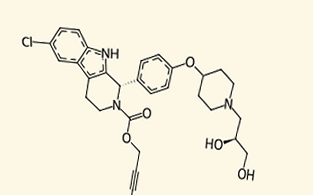 CC#CCOC(=O)N1CCc2c([nH]c3ccc(Cl)cc23)[C@@H]1c1ccc(OC2CCN(C[C@H](O)CO)CC2)cc1